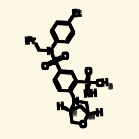 CCc1ccc(N(CC(C)C)S(=O)(=O)c2ccc(N3C[C@H]4C[C@@H]3CO4)c(S(C)(=N)=O)c2)cc1